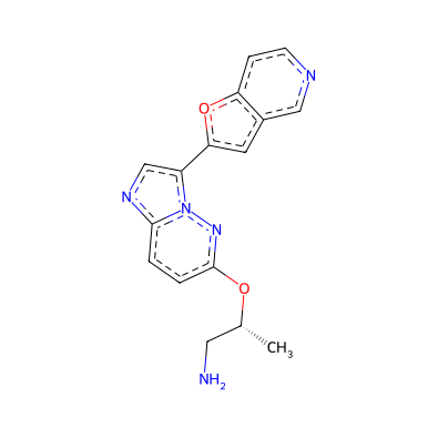 C[C@H](CN)Oc1ccc2ncc(-c3cc4cnccc4o3)n2n1